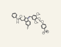 COc1cc(/C=C2/C(C)=C(CC(=O)Nc3ccccc3)c3cc(F)ccc32)cc(OC)c1OCOc1ccc([N+](=O)[O-])cc1